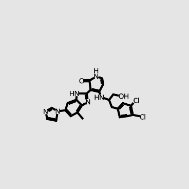 Cc1cc(-n2ccnc2)cc2[nH]c(-c3c(NC(CO)Cc4ccc(Cl)c(Cl)c4)cc[nH]c3=O)nc12